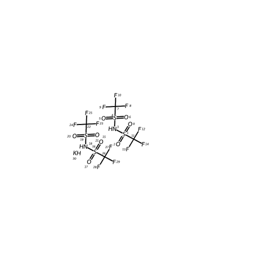 O=S(=O)(NS(=O)(=O)C(F)(F)F)C(F)(F)F.O=S(=O)(NS(=O)(=O)C(F)(F)F)C(F)(F)F.[KH]